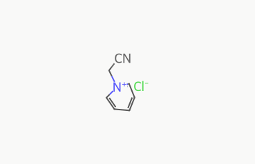 N#CC[n+]1ccccc1.[Cl-]